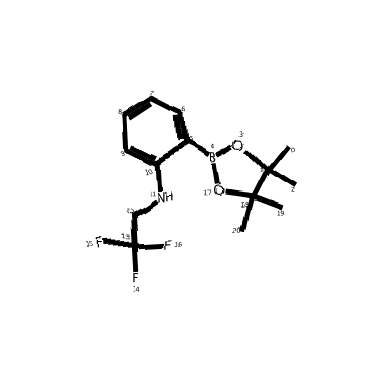 CC1(C)OB(c2ccccc2NCC(F)(F)F)OC1(C)C